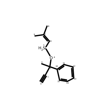 C#CC(C)(O[SiH2]C=C(C)C)c1ccccc1